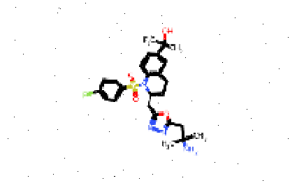 CC(C)(N)Cc1nnc(C[C@@H]2CCc3cc(C(C)(O)C(F)(F)F)ccc3N2S(=O)(=O)c2ccc(F)cc2)o1